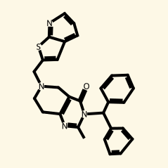 Cc1nc2c(c(=O)n1C(c1ccccc1)c1ccccc1)CN(Cc1cc3cccnc3s1)CC2